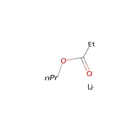 CCCOC(=O)CC.[Li]